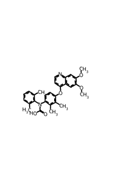 COc1cc2nccc(Oc3ccc(N(C(=O)O)c4c(C)cccc4C)c(C)c3C)c2cc1OC